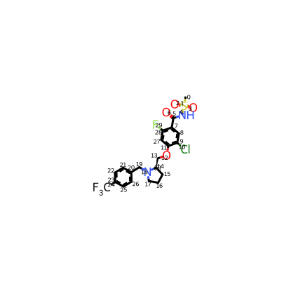 CS(=O)(=O)NC(=O)c1cc(Cl)c(OC[C@H]2CCCN2Cc2ccc(C(F)(F)F)cc2)cc1F